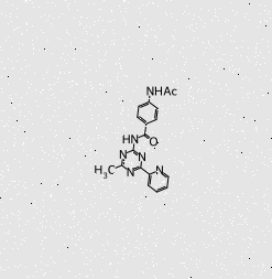 CC(=O)Nc1ccc(C(=O)Nc2nc(C)nc(-c3ccccn3)n2)cc1